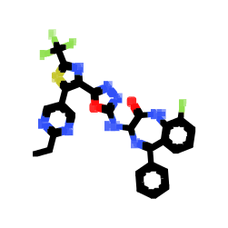 CCc1ncc(-c2sc(C(F)(F)F)nc2-c2nnc(NC3N=C(c4ccccc4)c4cccc(F)c4NC3=O)o2)cn1